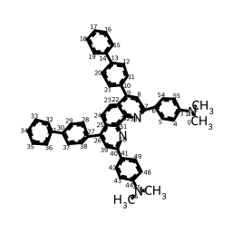 CN(C)c1ccc(-c2cc(-c3ccc(-c4ccccc4)cc3)c3ccc4c(-c5ccc(-c6ccccc6)cc5)cc(-c5ccc(N(C)C)cc5)nc4c3n2)cc1